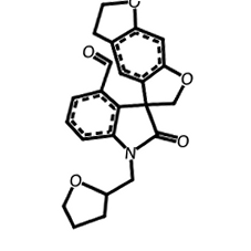 O=Cc1cccc2c1C1(COc3cc4c(cc31)CCO4)C(=O)N2CC1CCCO1